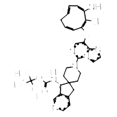 CC(C)(C)OC(=O)N[C@@H]1c2cnccc2CC12CCN(c1ncc(SC3=C(Cl)/C(N)=C\C=C\C/C=C\3)c3nccn13)CC2